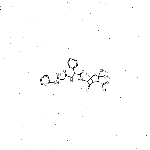 CC1(C)S[C@@H]2[C@H](NC(=O)C(NC(=O)CC(=N)Nc3ccccc3)c3ccccc3)C(=O)N2[C@H]1C(=O)O